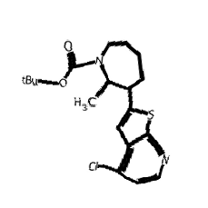 CC1C(c2cc3c(Cl)ccnc3s2)CCCCN1C(=O)OC(C)(C)C